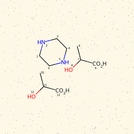 C1CNCCN1.CC(O)C(=O)O.CC(O)C(=O)O